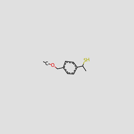 CCOCc1ccc(C(C)S)cc1